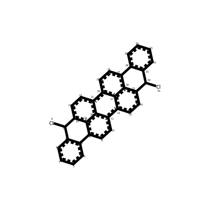 ClC1c2ccccc2-c2ccc3c4ccc5c6c(ccc(c7ccc1c2c37)c64)-c1ccccc1C5Cl